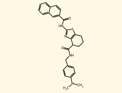 CN(C)c1ccc(CNC(=O)C2CCCc3sc(NC(=O)c4ccc5ccccc5c4)nc32)cc1